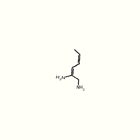 C/C=C\C=C(\N)CN